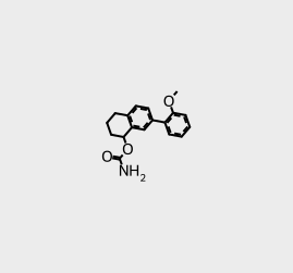 COc1ccccc1-c1ccc2c(c1)C(OC(N)=O)CCC2